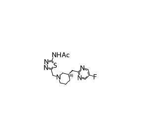 CC(=O)Nc1nnc(CN2CCC[C@H](Cc3ncc(F)cn3)C2)s1